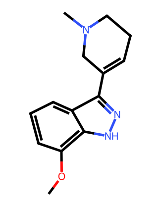 COc1cccc2c(C3=CCCN(C)C3)n[nH]c12